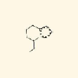 OCC1CCCc2ccnn21